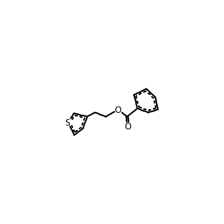 O=C(OCCc1ccsc1)c1ccccc1